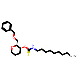 CCCCCCCCCCCCCCCCCCNC(=S)O[C@H]1CCCO[C@H]1COCc1ccccc1